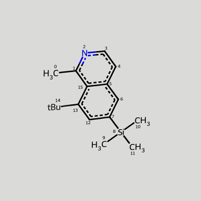 Cc1nccc2cc([Si](C)(C)C)cc(C(C)(C)C)c12